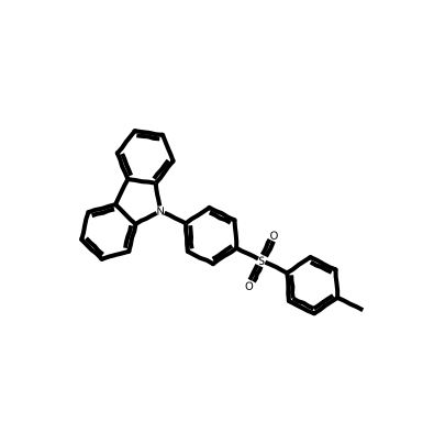 CC1=C=C=C(S(=O)(=O)c2ccc(-n3c4ccccc4c4ccccc43)cc2)C=C1